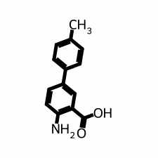 Cc1ccc(-c2ccc(N)c(C(=O)O)c2)cc1